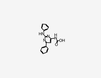 O=C(O)Nc1cc(-c2ccccc2)nc(Nc2ccccc2)n1